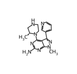 C[C@H]1CNCCN1c1nc(N)nc2c1c(-c1cccnc1)nn2C